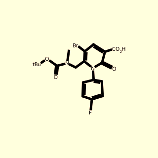 CN(Cc1c(Br)cc(C(=O)O)c(=O)n1-c1ccc(F)cc1)C(=O)OC(C)(C)C